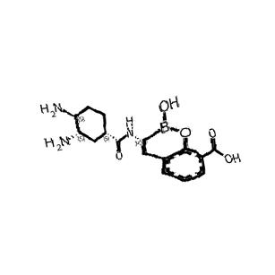 N[C@H]1CC[C@H](C(=O)N[C@H]2Cc3cccc(C(=O)O)c3OB2O)C[C@@H]1N